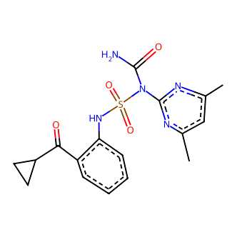 Cc1cc(C)nc(N(C(N)=O)S(=O)(=O)Nc2ccccc2C(=O)C2CC2)n1